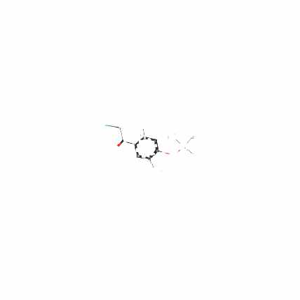 Cc1cc(C(=O)CCl)c(F)cc1O[Si](C(C)C)(C(C)C)C(C)C